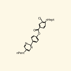 CCCCCCCc1ccc(C(=O)Oc2ccc(-c3ncc(CCCCC)cn3)cc2)cc1Cl